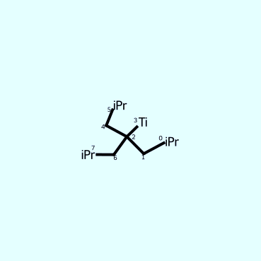 CC(C)C[C]([Ti])(CC(C)C)CC(C)C